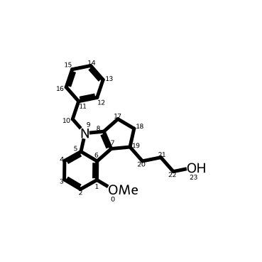 COc1cccc2c1c1c(n2Cc2ccccc2)CCC1CCCO